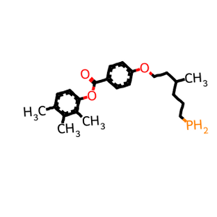 Cc1ccc(OC(=O)c2ccc(OCCC(C)CCCP)cc2)c(C)c1C